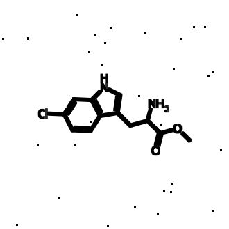 COC(=O)C(N)Cc1c[nH]c2cc(Cl)ccc12